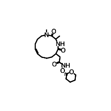 CC1NC(=O)C(CC(=O)NO[C@H]2CCCCO2)CCCC=CCCCN(C)C1=O